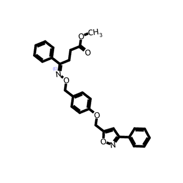 COC(=O)CC/C(=N\OCc1ccc(OCc2cc(-c3ccccc3)no2)cc1)c1ccccc1